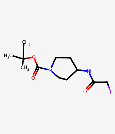 CC(C)(C)OC(=O)N1CCC(NC(=O)CI)CC1